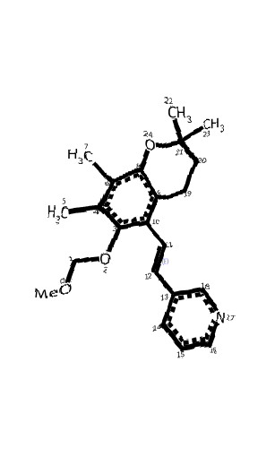 COCOc1c(C)c(C)c2c(c1/C=C/c1cccnc1)CCC(C)(C)O2